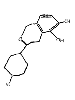 CCN1CCC(C2Cc3c(ccc(O)c3O)CO2)CC1